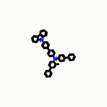 CC1CC(c2ccccc2)C=CC1N(c1ccc(-c2ccccc2)cc1)c1ccc(-c2ccc(-n3c4c#cccc4c4ccccc43)cc2)cc1